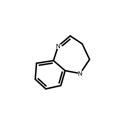 C1=Nc2ccccc2[N]CC1